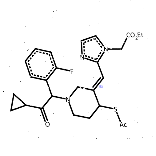 CCOC(=O)Cn1ccnc1/C=C1\CN(C(C(=O)C2CC2)c2ccccc2F)CCC1SC(C)=O